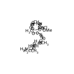 C=CC(C)C(=O)[C@H](CCCCN)NNC(=O)CCCSSC(C)(C)CCC(=O)N1CCN(Cc2ccc([C@H]3O[C@@H]3[C@@H](C)[C@@H]3C/C=C/C(=O)N[C@H](Cc4ccc(OC)c(Cl)c4)C(=O)NC[C@@H](C)C(=O)O[C@@H](CC(C)C)C(=O)O3)cc2)CC1